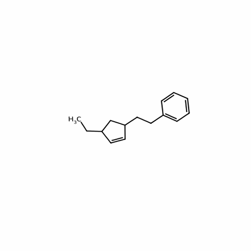 CCC1C=CC(CCc2ccccc2)C1